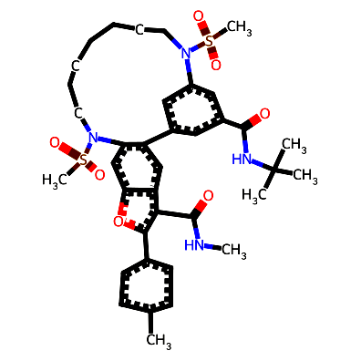 CNC(=O)c1c(-c2ccc(C)cc2)oc2cc3c(cc12)-c1cc(C(=O)NC(C)(C)C)cc(c1)N(S(C)(=O)=O)CCCCCCCN3S(C)(=O)=O